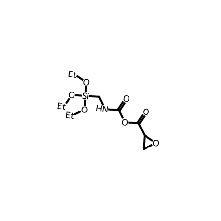 CCO[Si](CNC(=O)OC(=O)C1CO1)(OCC)OCC